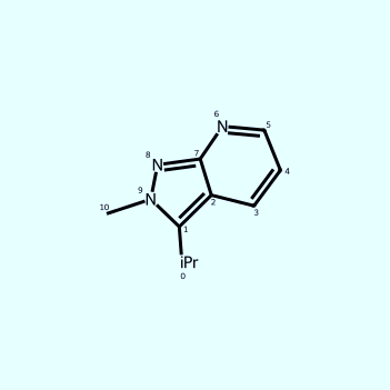 CC(C)c1c2cccnc2nn1C